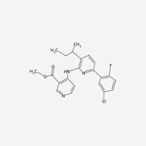 CCC(C)c1ccc(-c2cc(Cl)ccc2F)nc1Nc1ccncc1C(=O)OC